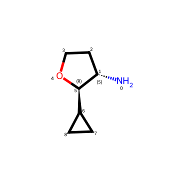 N[C@H]1CCO[C@@H]1C1CC1